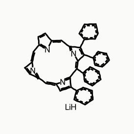 C1=CC2=NC1=CC1=NC(=C(c3ccccc3)C3=NC(=CC4=NC(=C2)C=C4)C=C3c2ccccc2)C(c2ccccc2)=C1c1ccccc1.[LiH]